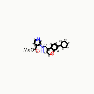 COC(=O)c1ccncc1NC[C@@H]1CCOc2cc(C3CCCCC3)ccc21